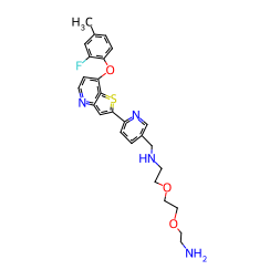 Cc1ccc(Oc2ccnc3cc(-c4ccc(CNCCOCCOCCN)cn4)sc23)c(F)c1